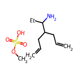 C=CCC(CC=C)C(N)CC.COS(=O)(=O)O